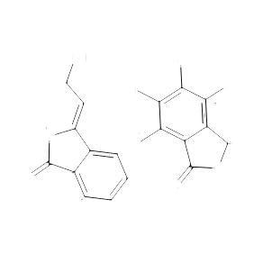 CC/C=C1\OC(=O)c2ccccc21.O=C1OCc2c(Cl)c(Cl)c(Cl)c(Cl)c21